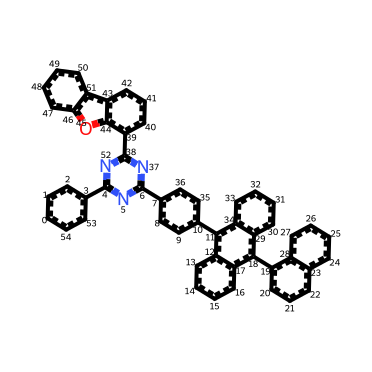 c1ccc(-c2nc(-c3ccc(-c4c5ccccc5c(-c5cccc6ccccc56)c5ccccc45)cc3)nc(-c3cccc4c3oc3ccccc34)n2)cc1